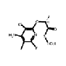 CCCCCCCCSC(=O)[C@@H](C)Oc1nc(F)c(C)c(N)c1Cl